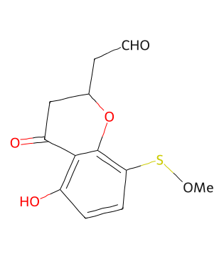 COSc1ccc(O)c2c1OC(CC=O)CC2=O